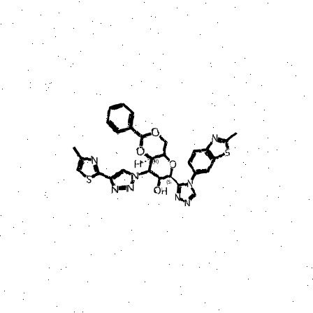 Cc1csc(-c2cn(C3C(O)[C@H](c4nncn4-c4ccc5nc(C)sc5c4)OC4COC(c5ccccc5)O[C@@H]43)nn2)n1